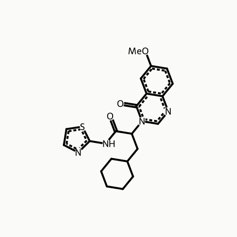 COc1ccc2ncn(C(CC3CCCCC3)C(=O)Nc3nccs3)c(=O)c2c1